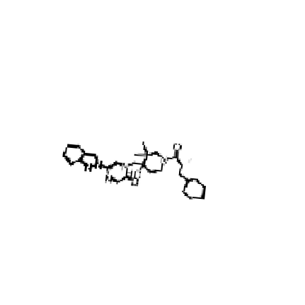 C[C@H](CC1CCCCC1)C(=O)N1CCC(O)(Cn2cc(-n3cc4ccccc4n3)ncc2=O)C(C)(C)C1